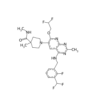 CNC(=O)C1(C)CCN(c2cc3c(NCc4cccc(C(F)F)c4F)nc(C)nc3nc2OCC(F)F)CC1